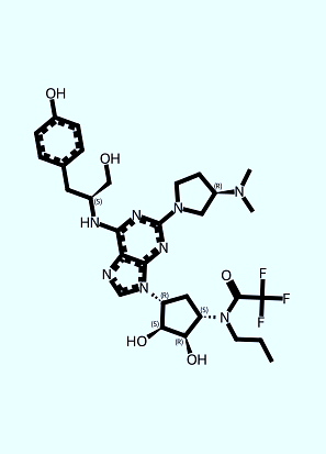 CCCN(C(=O)C(F)(F)F)[C@H]1C[C@@H](n2cnc3c(N[C@H](CO)Cc4ccc(O)cc4)nc(N4CC[C@@H](N(C)C)C4)nc32)[C@H](O)[C@@H]1O